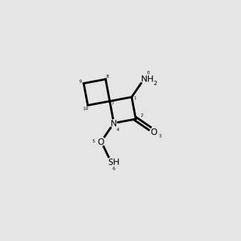 NC1C(=O)N(OS)C12CCC2